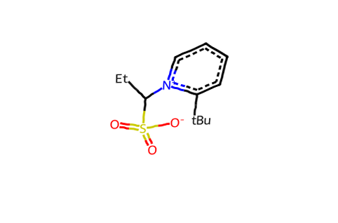 CCC([n+]1ccccc1C(C)(C)C)S(=O)(=O)[O-]